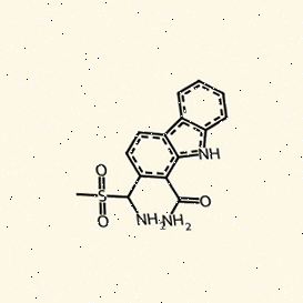 CS(=O)(=O)C(N)c1ccc2c([nH]c3ccccc32)c1C(N)=O